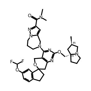 C[C@H]1CN2CCC[C@@]2(COc2nc3c(c(N4CCCn5nc(C(=O)N(C)C)cc5C4)n2)COC2(CCc4ccc(OC(F)F)cc42)C3)C1